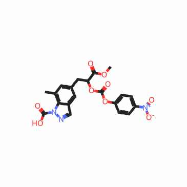 COC(=O)C(Cc1cc(C)c2c(cnn2C(=O)O)c1)OC(=O)Oc1ccc([N+](=O)[O-])cc1